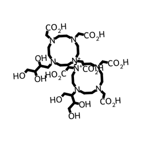 O=C(O)CN1CCN(CC(=O)O)CC[N+](CC(=O)O)([N+]2(CC(=O)O)CCN(CC(=O)O)CCN(CC(=O)O)CCN(C(CO)C(O)CO)CC2)CCN(CC(O)C(O)CO)CC1